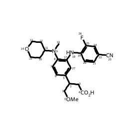 COCC(CC(=O)O)c1ccc(N(C)C2CCOCC2)c(Nc2ccc(C#N)cc2F)c1